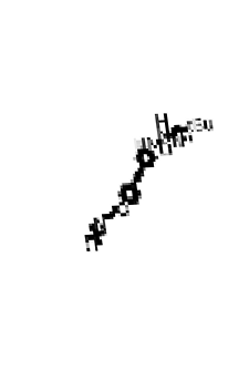 CC(C)(C)c1cc(NC(=O)Nc2ccc(C#Cc3ccc(OCCCN4CC5(COC5)C4)cc3)cc2)no1